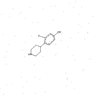 Oc1ccc(C2CCNCC2)c(F)c1